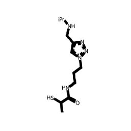 CC(C)NCc1cn(CCCNC(=O)C(C)S)nn1